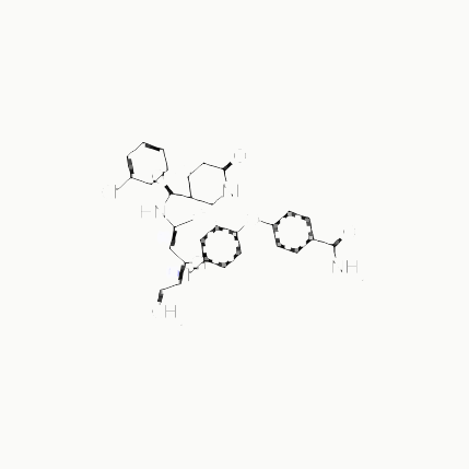 C=C/C=C(Cl)\C=C1/C[C@@]2(C(=O)N1)[C@@H](c1cc(I)ccc1Oc1ccc(C(N)=O)cc1)NC(=O)C[C@H]2C1C=CC=C(Cl)C1